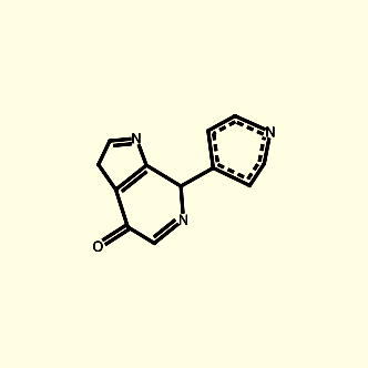 O=C1C=NC(c2ccncc2)C2=C1CC=N2